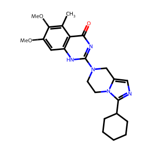 COc1cc2[nH]c(N3CCn4c(cnc4C4CCCCC4)C3)nc(=O)c2c(C)c1OC